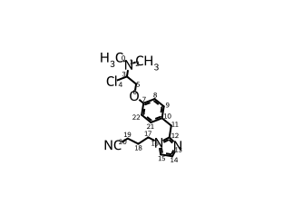 CN(C)C(Cl)COc1ccc(Cc2nccn2CCCC#N)cc1